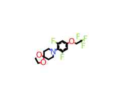 Fc1cc(OCC(F)(F)F)cc(F)c1N1CCC2(CC1)OCCO2